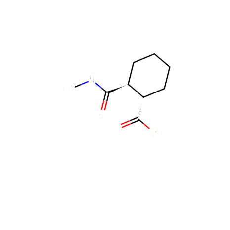 CNC(=O)[C@H]1CCCC[C@@H]1C(=O)O